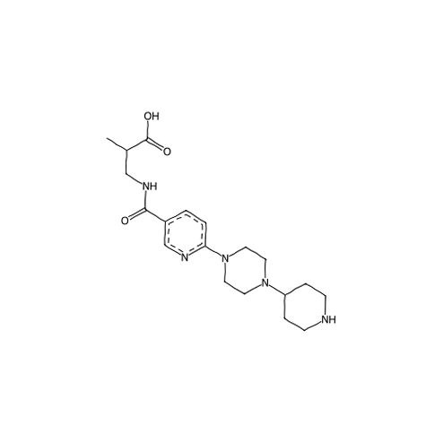 CC(CNC(=O)c1ccc(N2CCN(C3CCNCC3)CC2)nc1)C(=O)O